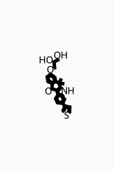 CC1(C)c2cc(OC[C@@H](O)CO)ccc2C(=O)c2c1[nH]c1cc(-c3ccsc3)ccc21